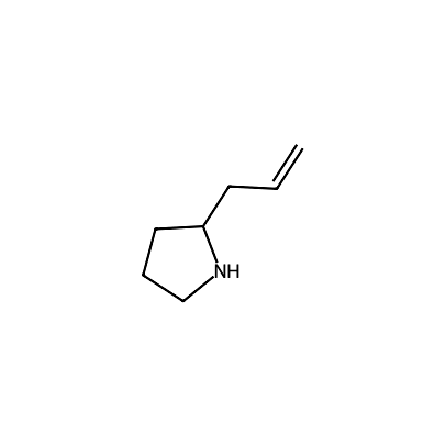 C=CCC1CCCN1